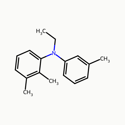 CCN(c1cccc(C)c1)c1cccc(C)c1C